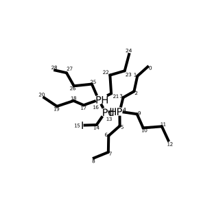 CCCC[PH](CCCC)(CCCC)[Pd]([CH2]I)[PH](CCCC)(CCCC)CCCC